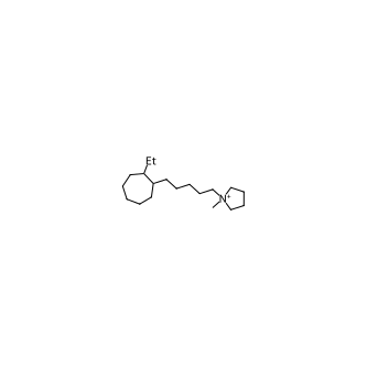 CCC1CCCCCC1CCCCC[N+]1(C)CCCC1